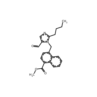 CCCCc1ncc(C=O)n1Cc1ccc(C(=O)OC)c2ccccc12